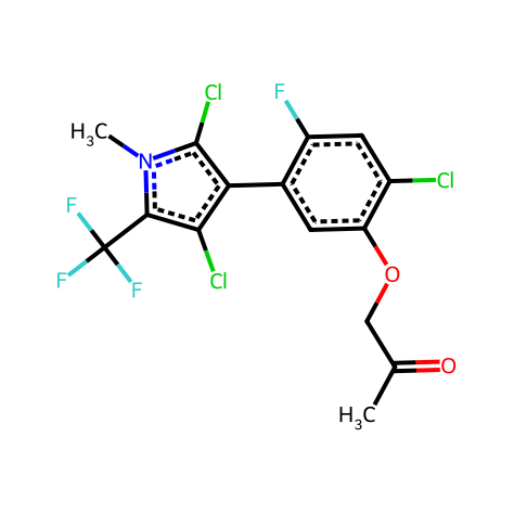 CC(=O)COc1cc(-c2c(Cl)c(C(F)(F)F)n(C)c2Cl)c(F)cc1Cl